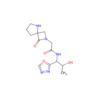 CC(O)C(NC(=O)CN1CC2(CCCN2)C1=O)c1nnco1